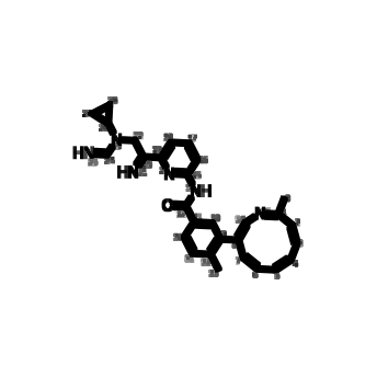 Cc1ccccccc(-c2cc(C(=O)Nc3cccc(C(=N)CN(C=N)C4CC4)n3)ccc2C)cn1